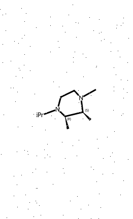 CC(C)N1CCN(C)[C@@H](C)[C@H]1C